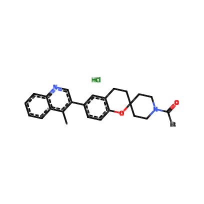 CCC(=O)N1CCC2(CCc3cc(-c4cnc5ccccc5c4C)ccc3O2)CC1.Cl